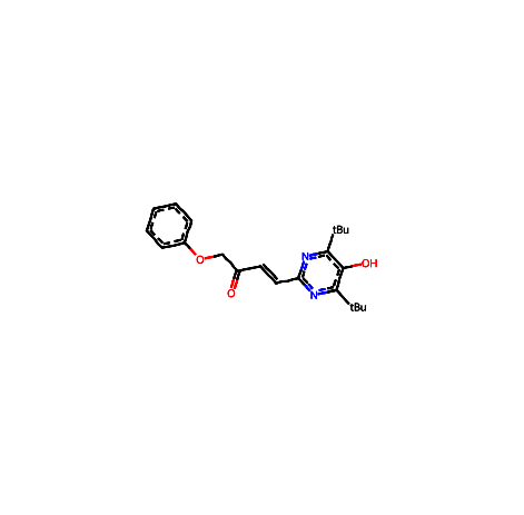 CC(C)(C)c1nc(C=CC(=O)COc2ccccc2)nc(C(C)(C)C)c1O